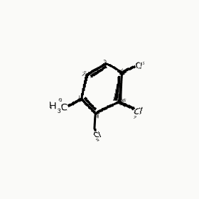 Cc1ccc(Cl)c(Cl)c1Cl